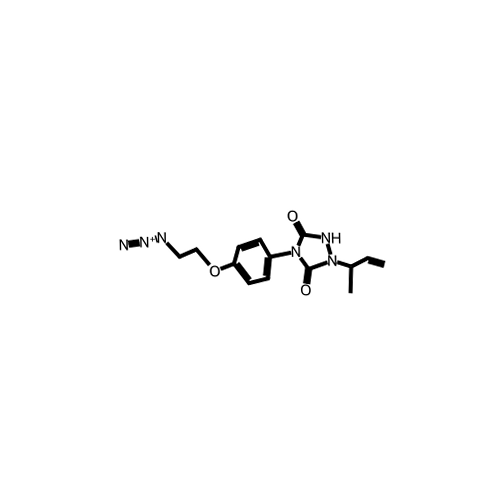 C=CC(C)n1[nH]c(=O)n(-c2ccc(OCCN=[N+]=[N-])cc2)c1=O